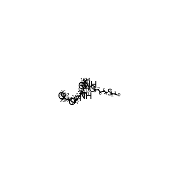 CCCSCCCCCOC[C@H](NC(C)(C)C)C(=O)C(C)(C)NCCC(C)(C)OCCC(C)(C)OC